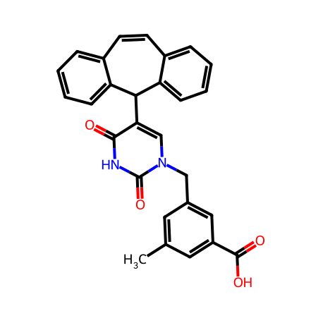 Cc1cc(Cn2cc(C3c4ccccc4C=Cc4ccccc43)c(=O)[nH]c2=O)cc(C(=O)O)c1